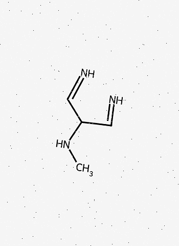 CNC(C=N)C=N